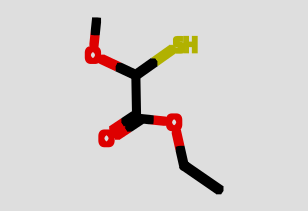 CCOC(=O)C(S)OC